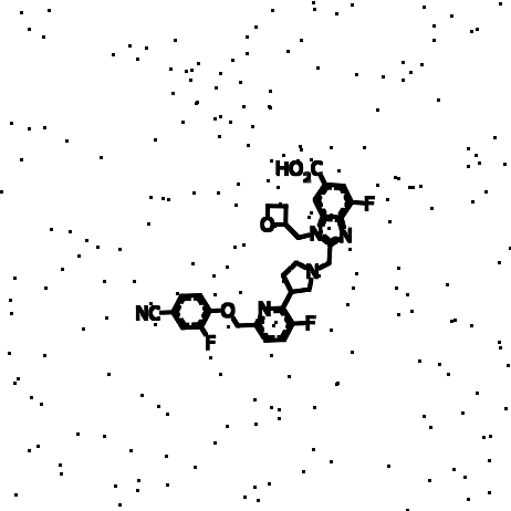 N#Cc1ccc(OCc2ccc(F)c(C3CCN(Cc4nc5c(F)cc(C(=O)O)cc5n4CC4CCO4)C3)n2)c(F)c1